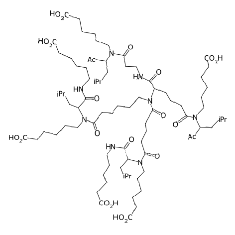 CC(=O)C(CC(C)C)N(CCCCCC(=O)O)C(=O)CCCC(C(=O)NCCC(=O)N(CCCCCC(=O)O)C(CC(C)C)C(C)=O)N(CCCCCC(=O)N(CCCCCC(=O)O)C(CC(C)C)C(=O)NCCCCCC(=O)O)C(=O)CCCC(=O)N(CCCCCC(=O)O)C(CC(C)C)C(=O)NCCCCCC(=O)O